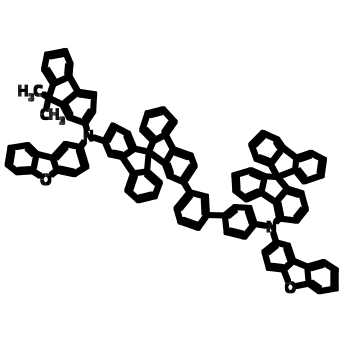 CC1(C)c2ccccc2-c2ccc(N(c3ccc4c(c3)-c3ccccc3C43c4ccccc4-c4ccc(-c5cccc(-c6ccc(N(c7ccc8oc9ccccc9c8c7)c7cccc8c7-c7ccccc7C87c8ccccc8-c8ccccc87)cc6)c5)cc43)c3ccc4oc5ccccc5c4c3)cc21